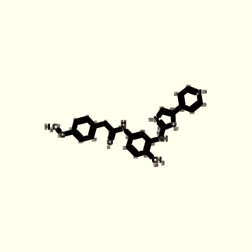 COc1ccc(CC(=O)Nc2ccc(C)c(Nc3ncc(-c4ccncc4)o3)c2)cc1